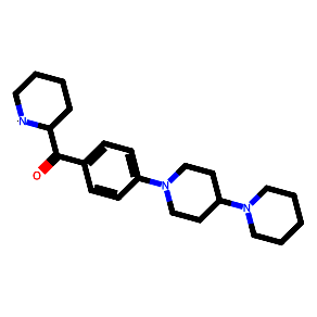 O=C(c1ccc(N2CCC(N3CCCCC3)CC2)cc1)C1CCCC[N]1